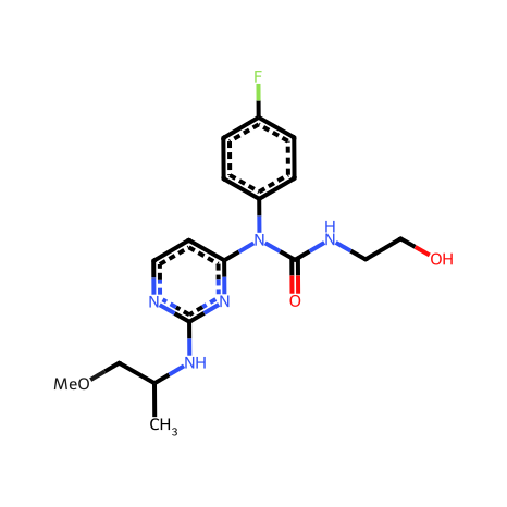 COCC(C)Nc1nccc(N(C(=O)NCCO)c2ccc(F)cc2)n1